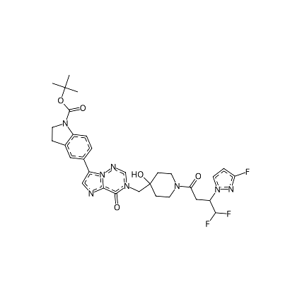 CC(C)(C)OC(=O)N1CCc2cc(-c3cnc4c(=O)n(CC5(O)CCN(C(=O)CC(C(F)F)n6ccc(F)n6)CC5)cnn34)ccc21